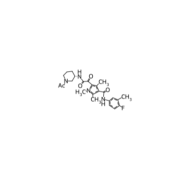 CC(=O)N1CCC[C@H](NC(=O)C(=O)c2c(C)c(C(=O)Nc3ccc(F)c(C)c3)c(C)n2C)C1